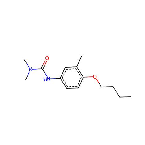 CCCCOc1ccc(NC(=O)N(C)C)cc1C